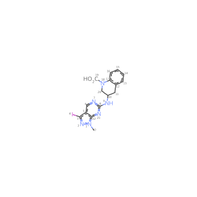 Cn1nc(I)c2cnc(NC3Cc4ccccc4N(C(=O)O)C3)nc21